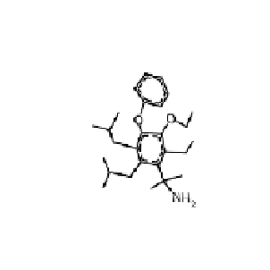 CCOc1c(CC)c(C(C)(C)N)c(CC(C)C)c(CC(C)C)c1Oc1ccccc1